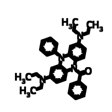 CCN(CC)c1ccc2c(c1)N(c1ccccc1)c1cc(N(CC)CC)ccc1N2C(=O)c1ccccc1